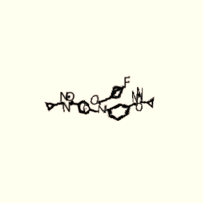 O=C(N(CC12CCC(c3nc(C4CC4)no3)(CC1)CC2)c1cccc(-c2nnc(C3CC3)o2)c1)C12CC(F)(C1)C2